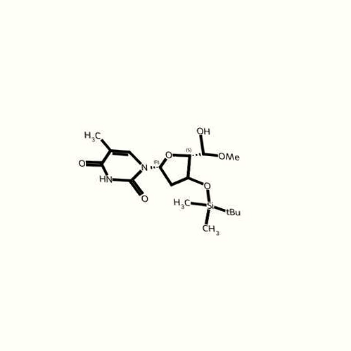 COC(O)[C@H]1O[C@@H](n2cc(C)c(=O)[nH]c2=O)CC1O[Si](C)(C)C(C)(C)C